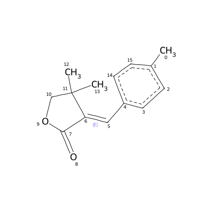 Cc1ccc(/C=C2/C(=O)OCC2(C)C)cc1